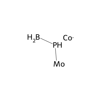 B[PH][Mo].[Co]